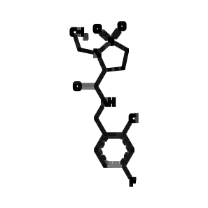 CCN1C(C(=O)NCc2ccc(F)cc2Cl)CCS1(=O)=O